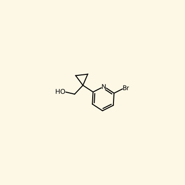 OCC1(c2cccc(Br)n2)CC1